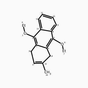 CCOc1c2c(c(OCC)c3ccccc13)CC(C)=CC2